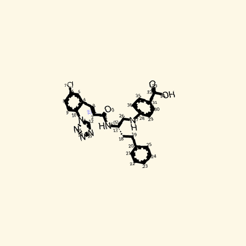 O=C(/C=C/c1cc(Cl)ccc1-n1cnnn1)N[C@@H](CCc1ccccc1)CNc1ccc(C(=O)O)cc1